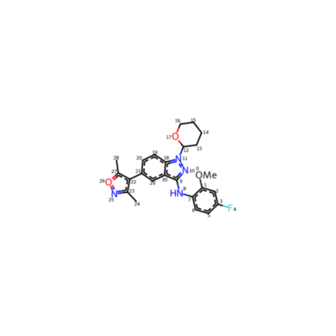 COc1cc(F)ccc1Nc1nn(C2CCCCO2)c2ccc(-c3c(C)noc3C)cc12